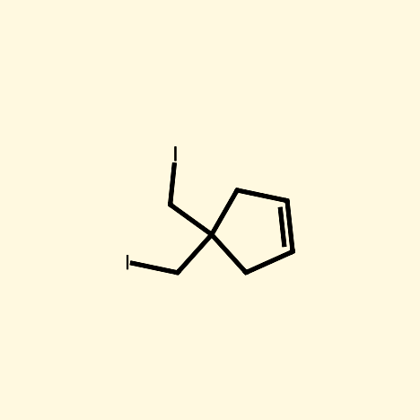 ICC1(CI)CC=CC1